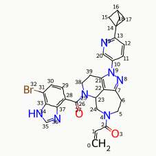 C=CC(=O)N1CCc2nn(-c3ccc(C45CC(C4)C5)nc3)c3c2C(C1)N(C(=O)c1ccc(Br)c2[nH]cnc12)CC3